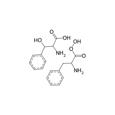 NC(C(=O)O)C(O)c1ccccc1.NC(Cc1ccccc1)C(=O)OO